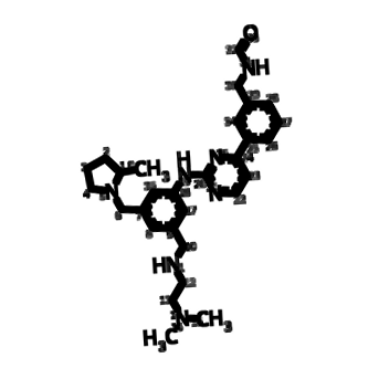 CC1CCCN1Cc1cc(CNCCN(C)C)cc(Nc2nccc(-c3cccc(CNC=O)c3)n2)c1